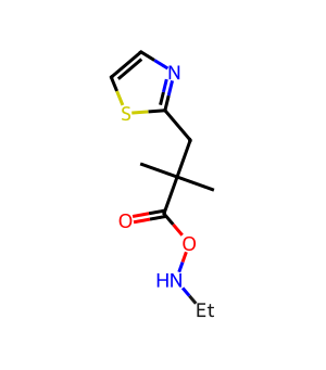 CCNOC(=O)C(C)(C)Cc1nccs1